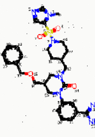 Cn1cncc1S(=O)(=O)N1CCC(CN2CC(COCc3ccccc3)CN(c3cccc(C(=N)N)c3)C2=O)CC1